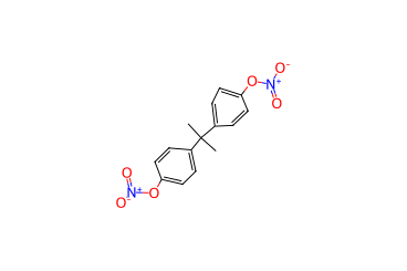 CC(C)(c1ccc(O[N+](=O)[O-])cc1)c1ccc(O[N+](=O)[O-])cc1